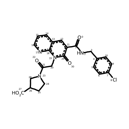 O=C(NCc1ccc(Cl)cc1)c1cc2cccnc2n(CC(=O)N2CCC(C(=O)O)C2)c1=O